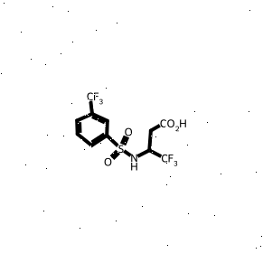 O=C(O)CC(NS(=O)(=O)c1cccc(C(F)(F)F)c1)C(F)(F)F